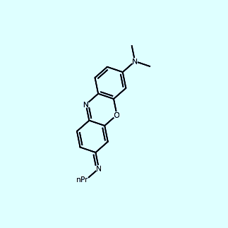 CCCN=c1ccc2nc3ccc(N(C)C)cc3oc-2c1